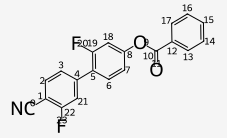 N#Cc1ccc(-c2ccc(OC(=O)c3ccccc3)cc2F)cc1F